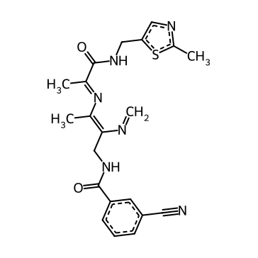 C=N/C(CNC(=O)c1cccc(C#N)c1)=C(C)\N=C(/C)C(=O)NCc1cnc(C)s1